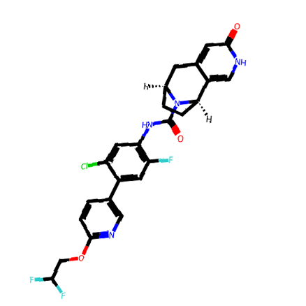 O=C(Nc1cc(Cl)c(-c2ccc(OCC(F)F)nc2)cc1F)N1[C@H]2CC[C@@H]1c1c[nH]c(=O)cc1C2